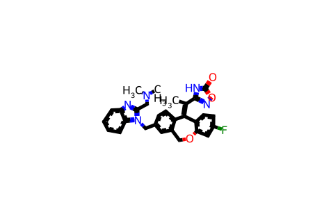 CC(=C1c2ccc(Cn3c(CN(C)C)nc4ccccc43)cc2COc2cc(F)ccc21)c1noc(=O)[nH]1